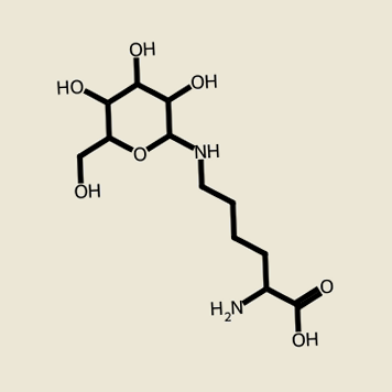 NC(CCCCNC1OC(CO)C(O)C(O)C1O)C(=O)O